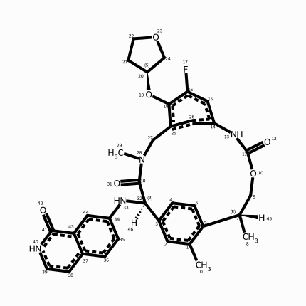 Cc1cc2ccc1[C@@H](C)COC(=O)Nc1cc(F)c(O[C@H]3CCOC3)c(c1)CN(C)C(=O)[C@@H]2Nc1ccc2cc[nH]c(=O)c2c1